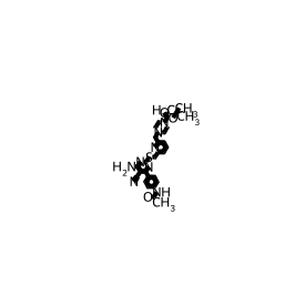 CC(=O)Nc1ccc(-c2nc(SCc3cccc(CN4CCN(C(=O)OC(C)(C)C)CC4)n3)nc(N)c2C#N)cc1